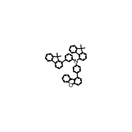 CC1(C)c2ccccc2-c2c(N(c3ccc(-c4cccc5oc6ccccc6c45)cc3)c3cccc(-c4cccc5c4C(C)(C)c4ccccc4-5)c3)cccc21